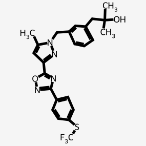 Cc1cc(-c2nc(-c3ccc(SC(F)(F)F)cc3)no2)nn1Cc1cccc(CC(C)(C)O)c1